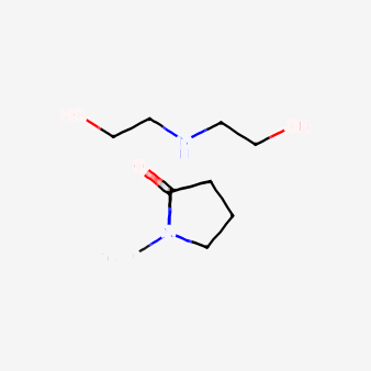 CCCCCCCCN1CCCC1=O.OCCNCCO